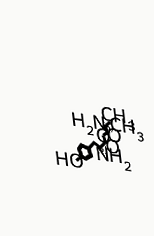 CC(C)[C@H](N)C(=O)OC(=O)[C@@H](N)Cc1ccc(O)cc1